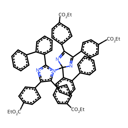 CCOC(=O)c1ccc(C2=NC(c3ccccc3-c3ccccc3)(n3c(-c4ccccc4-c4ccccc4)nc(-c4ccc(C(=O)OCC)cc4)c3-c3ccc(C(=O)OCC)cc3)N=C2c2ccc(C(=O)OCC)cc2)cc1